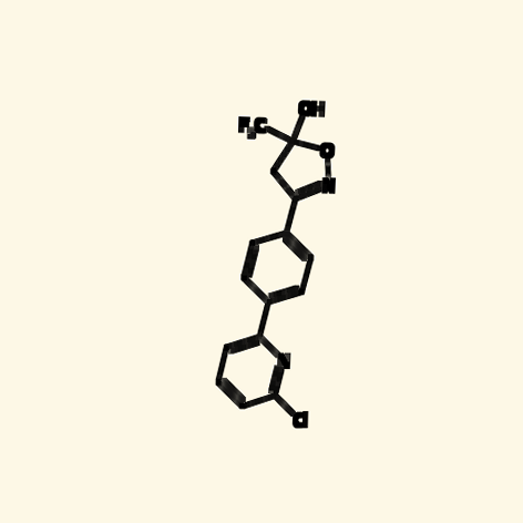 OC1(C(F)(F)F)CC(c2ccc(-c3cccc(Cl)n3)cc2)=NO1